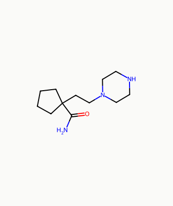 NC(=O)C1(CCN2CCNCC2)CCCC1